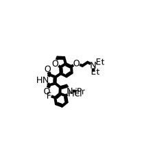 CCN(CC)CCOc1ccc(C2=C(c3cn(C(C)C)c4cccc(F)c34)C(=O)NC2=O)c2occc12.Cl